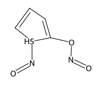 O=NOC1=CC=C[SH]1N=O